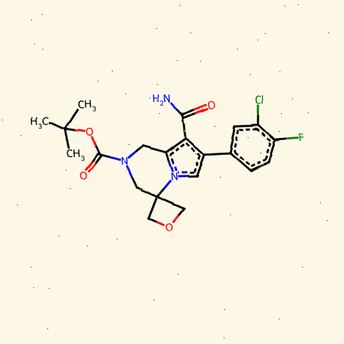 CC(C)(C)OC(=O)N1Cc2c(C(N)=O)c(-c3ccc(F)c(Cl)c3)cn2C2(COC2)C1